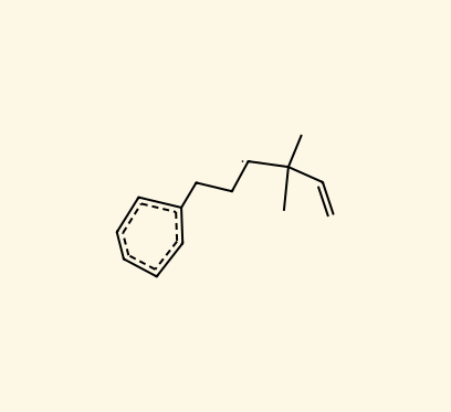 C=CC(C)(C)[CH]CCc1ccccc1